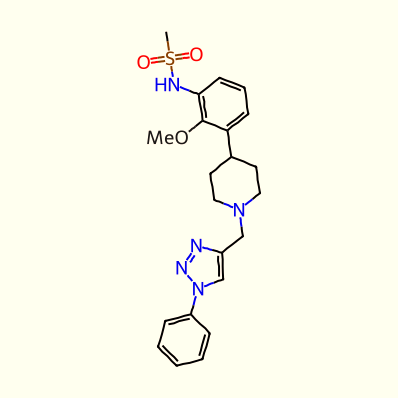 COc1c(NS(C)(=O)=O)cccc1C1CCN(Cc2cn(-c3ccccc3)nn2)CC1